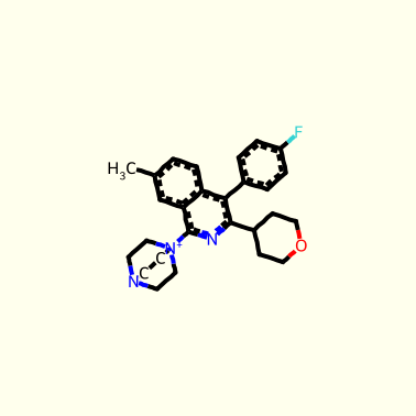 Cc1ccc2c(-c3ccc(F)cc3)c(C3CCOCC3)nc([N+]34CCN(CC3)CC4)c2c1